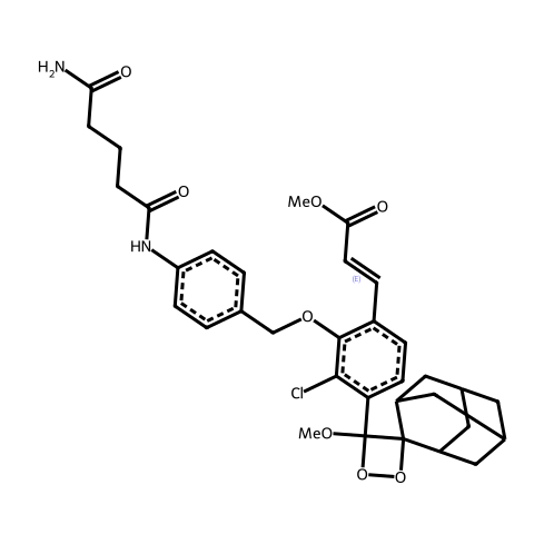 COC(=O)/C=C/c1ccc(C2(OC)OOC23C2CC4CC(C2)CC3C4)c(Cl)c1OCc1ccc(NC(=O)CCCC(N)=O)cc1